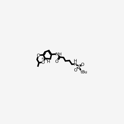 CC1COC2=CC=C(NC(=O)CCCCNS(=O)(=O)C(C)(C)C)C[C@H]2O1